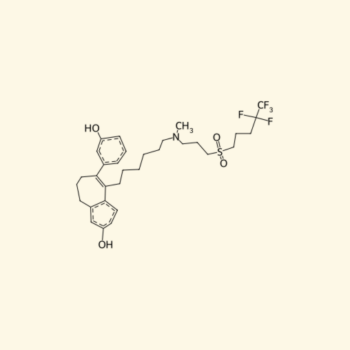 CN(CCCCCCC1=C(c2cccc(O)c2)CCCc2cc(O)ccc21)CCCS(=O)(=O)CCCC(F)(F)C(F)(F)F